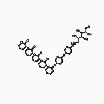 O=CC(O)C(O)C(O)C(O)CO.O=c1cccco1.O=c1cccco1.O=c1cccco1.O=c1cccco1.O=c1cccco1.O=c1cccco1.O=c1cccco1